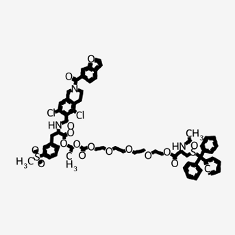 CC(=O)NC(CSC(c1ccccc1)(c1ccccc1)c1ccccc1)C(=O)OCCOCCOCCOCCOC(=O)OC(C)OC(=O)C(Cc1cccc(S(C)(=O)=O)c1)NC(=O)c1c(Cl)cc2c(c1Cl)CCN(C(=O)c1ccc3ccoc3c1)C2